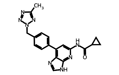 Cc1nnn(Cc2ccc(-c3cc(NC(=O)C4CC4)nc4[nH]cnc34)cc2)n1